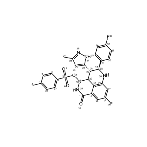 Cc1ccc(S(=O)(=O)ON2NC(=O)c3cc(F)cc4c3C2[C@H](c2nc(C)n[nH]2)[C@@H](c2ccc(F)cc2)N4)cc1